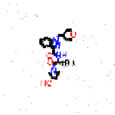 CC(C)(C)C(NC(=O)c1nn(CC2CCOCC2)c2ccccc12)C(=O)N1CC[C@H](O)C1